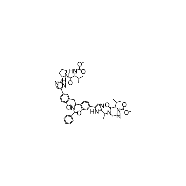 CCCN(C(=O)[C@@H](NC(=O)OC)C(C)C)[C@@H](C)c1ncc(-c2ccc3c(c2)OC(c2ccccc2)N=C3Cc2cc(-c3cnc([C@@H]4CCCN4C(=O)[C@@H](NC(=O)OC)C(C)C)[nH]3)ccc2Cl)[nH]1